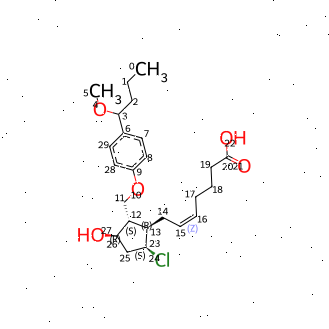 CCCC(OC)c1ccc(OC[C@@H]2[C@@H](C/C=C\CCCC(=O)O)[C@@H](Cl)C[C@H]2O)cc1